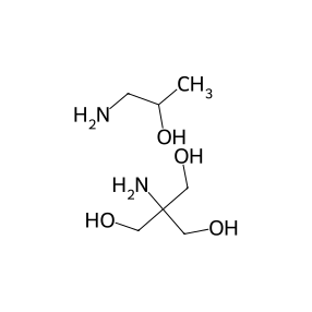 CC(O)CN.NC(CO)(CO)CO